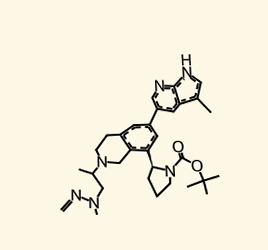 C=NN(C)CC(C)N1CCc2cc(-c3cnc4[nH]cc(C)c4c3)cc([C@@H]3CCCN3C(=O)OC(C)(C)C)c2C1